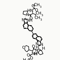 COC(=O)N[C@H](C(=O)N1CCC[C@H]1c1nc2ccc3cc(-c4ccc5c(ccc6nc([C@@H]7[C@H]8CC[C@H](C8)N7C(=O)[C@@H](NC(=O)OC)C7CCOCC7)[nH]c65)c4)ccc3c2[nH]1)C(C)C